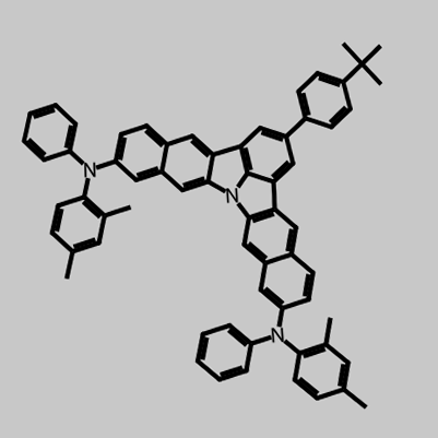 Cc1ccc(N(c2ccccc2)c2ccc3cc4c5cc(-c6ccc(C(C)(C)C)cc6)cc6c7cc8ccc(N(c9ccccc9)c9ccc(C)cc9C)cc8cc7n(c4cc3c2)c56)c(C)c1